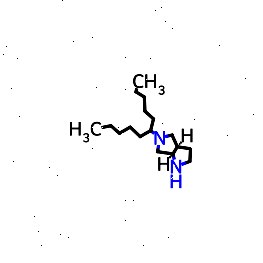 CCCCCC(CCCCC)N1C[C@H]2CCN[C@H]2C1